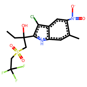 CCC(O)(CS(=O)(=O)CC(F)(F)F)c1[nH]c2cc(C)c([N+](=O)[O-])cc2c1Cl